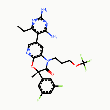 CCc1nc(N)nc(N)c1-c1cnc2c(c1)N(CCCOC(F)(F)F)C(=O)[C@](C)(c1cc(F)cc(F)c1)O2